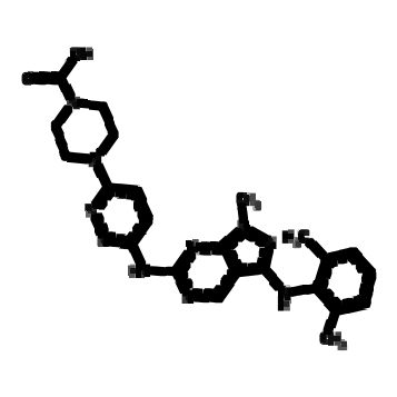 Cc1cccc(C)c1Nc1nn(C)c2nc(Nc3ccc(N4CCN(C(=O)O)CC4)nn3)ncc12